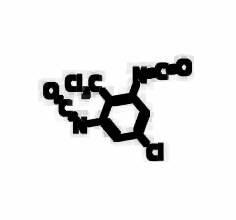 O=C=Nc1cc(Cl)cc(N=C=O)c1C(Cl)(Cl)Cl